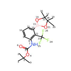 CC(C)(C)OC(=O)Nc1cccc(B2OC(C)(C)C(C)(C)O2)c1C(F)(F)F